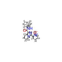 O=C(NC12CC3CC(CC(C3)C1)C2)c1nc(-c2cccc[n+]2[O-])n2ccccc12